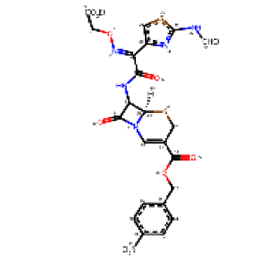 CCOC(=O)CON=C(C(=O)NC1C(=O)N2C=C(C(=O)OCc3ccc([N+](=O)[O-])cc3)CS[C@H]12)c1csc(NC=O)n1